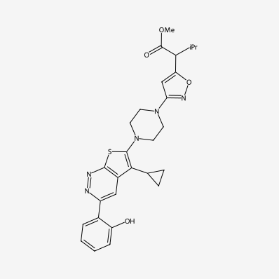 COC(=O)C(c1cc(N2CCN(c3sc4nnc(-c5ccccc5O)cc4c3C3CC3)CC2)no1)C(C)C